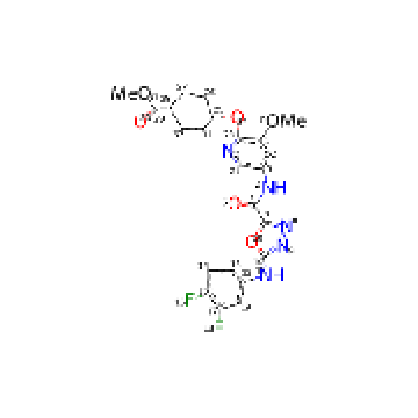 COc1cc(NC(=O)c2nnc(Nc3ccc(F)c(F)c3)o2)cnc1O[C@H]1CC[C@@H](C(=O)OC)CC1